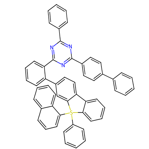 c1ccc(-c2ccc(-c3nc(-c4ccccc4)nc(-c4ccccc4-c4ccc5c(c4)S(c4ccccc4)(c4cccc6ccccc46)c4ccccc4-5)n3)cc2)cc1